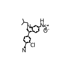 CC(C)Cn1cc(-c2ccc(C#N)c(Cl)c2)c2ccc(N[S+](C)[O-])cc21